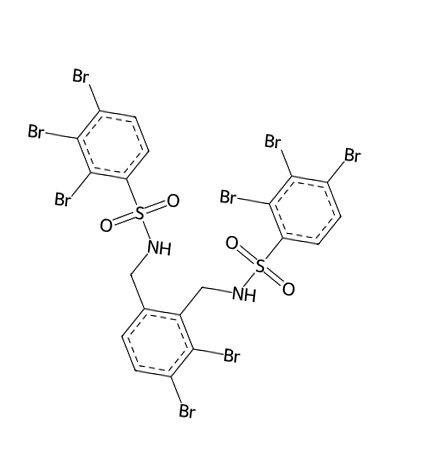 O=S(=O)(NCc1ccc(Br)c(Br)c1CNS(=O)(=O)c1ccc(Br)c(Br)c1Br)c1ccc(Br)c(Br)c1Br